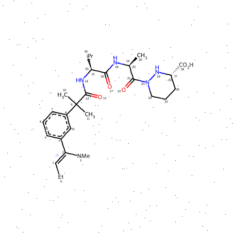 CC/C=C(\NC)c1cccc(C(C)(C)C(=O)N[C@H](C(=O)N[C@@H](C)C(=O)N2CCC[C@@H](C(=O)O)N2)C(C)C)c1